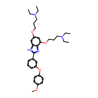 CCN(CC)CCCOc1cc(OCCCN(CC)CC)c2nc(-c3cccc(Oc4ccc(OC)cc4)c3)[nH]c2c1